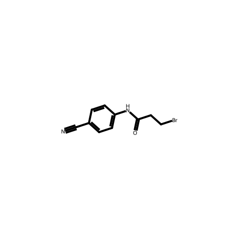 N#Cc1ccc(NC(=O)CCBr)cc1